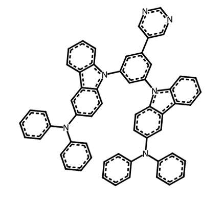 c1ccc(N(c2ccccc2)c2ccc3c(c2)c2ccccc2n3-c2cc(-c3cncnc3)cc(-n3c4ccccc4c4cc(N(c5ccccc5)c5ccccc5)ccc43)c2)cc1